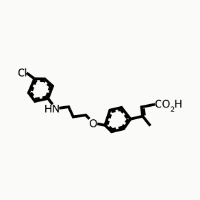 CC(=CC(=O)O)c1ccc(OCCCNc2ccc(Cl)cc2)cc1